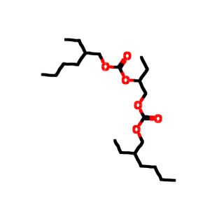 CCCCC(CC)COC(=O)OCC(CC)OC(=O)OCC(CC)CCCC